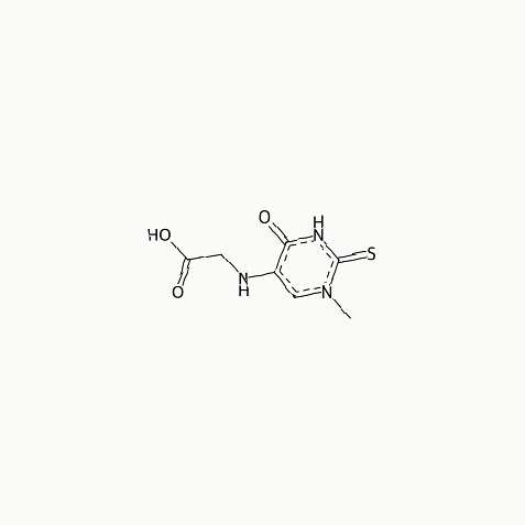 Cn1cc(NCC(=O)O)c(=O)[nH]c1=S